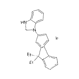 CCC1(CC)c2ccccc2-c2ccc(N3CNc4ccccc43)cc21.[Ir]